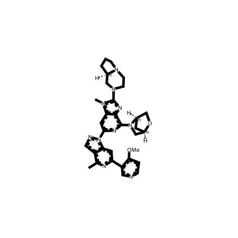 COc1ccncc1-c1cc2c(cnn2-c2cc3c(nc(N4CCN5CCC[C@@H]5C4)n3C)c(N3C[C@H]4C[C@@H]3CO4)n2)c(C)n1